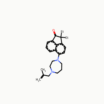 C=C(C)CN1CCCN(c2ccc3c4c(cccc24)C(=O)C3(CC)CC)CC1